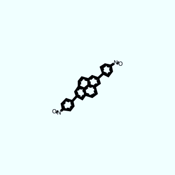 O=Nc1ccc(-c2cc3ccc4cc(-c5ccc(N=O)cc5)cc5ccc(c2)c3c45)cc1